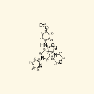 CCOc1ccc(NC(=O)C2(C(=O)N3CCOCC3)CCN(c3ccccn3)CC2)cc1